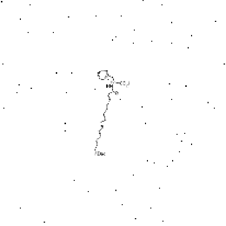 CCCCCCCCCCCC=CC=CC=CC=CC=CC=CC(=O)N[C@@H](Cc1ccccc1)C(=O)O